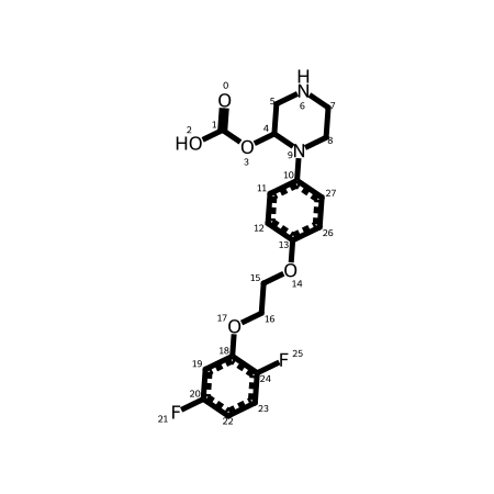 O=C(O)OC1CNCCN1c1ccc(OCCOc2cc(F)ccc2F)cc1